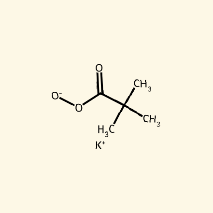 CC(C)(C)C(=O)O[O-].[K+]